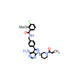 C=CC(=O)N1CCC[C@@H](n2nc(-c3ccc(CNC(=O)c4cccc(F)c4OC)cc3)c3c(N)ncnc32)C1